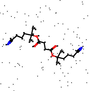 CC(C)(CCCC#N)OC(=O)CCC(=O)OC(C)(C)CCCC#N